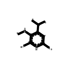 COc1c(C(C)C)cc(I)nc1I